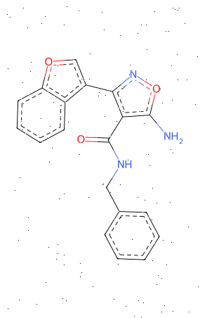 Nc1onc(-c2coc3ccccc23)c1C(=O)NCc1ccccc1